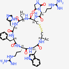 CC(=O)[C@@H]1CSSC[C@H](NC(=O)[C@@H](CCCNC(=N)N)N2C(=O)CNC2=O)C(=O)N[C@H](C)C(=O)N[C@@H](Cc2cnc[nH]2)C(=O)N[C@H](Cc2ccccc2)C(=O)N[C@@H](CCCNC(=N)N)C(=O)N[C@@H](Cc2c[nH]c3ccccc23)C(=O)N1